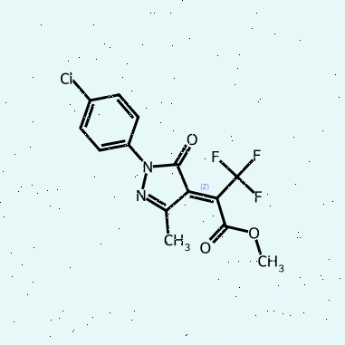 COC(=O)/C(=C1/C(=O)N(c2ccc(Cl)cc2)N=C1C)C(F)(F)F